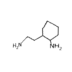 NCCC1CCCCC1N